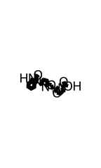 O=C(O)N1CCO[C@@H](COc2ccc(-n3c(=O)[nH]c4ccccc43)cn2)C1